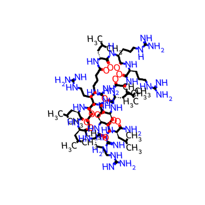 CCCCCCCCCCCC(=O)N[C@H](CC(C)C)C(=O)N[C@@H](CCCNC(=N)N)C(=O)N[C@@H](CCCNC(=N)N)C(=O)N[C@H](CC(C)C)C(=O)N[C@H](CC(C)C)C(=O)N[C@@H](CCCNC(=N)N)C(=O)N[C@@H](CCCNC(=N)N)C(=O)N[C@H](CC(C)C)C(=O)N[C@H](CC(C)C)C(=O)N[C@@H](CCCNC(=N)N)C(=O)N[C@@H](CCCNC(=N)N)C(=O)N[C@H](CC(C)C)C(N)=O